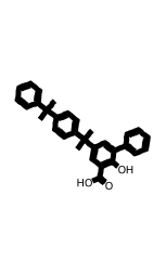 CC(C)(c1ccccc1)c1ccc(C(C)(C)c2cc(C(=O)O)c(O)c(-c3ccccc3)c2)cc1